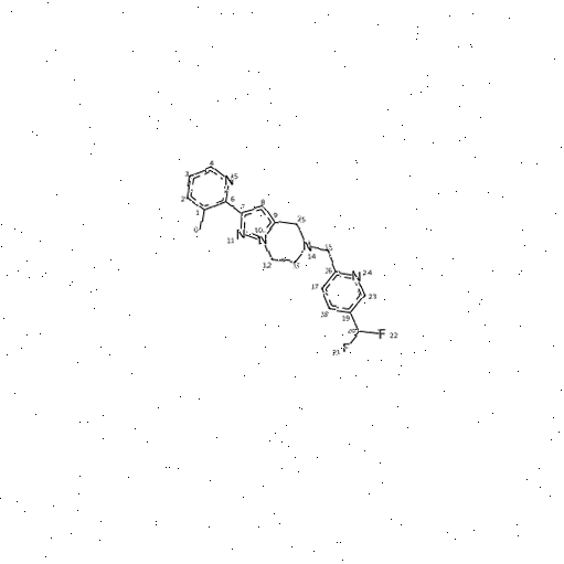 Cc1cccnc1-c1cc2n(n1)CCN(Cc1ccc(C(F)F)cn1)C2